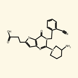 N#Cc1ccccc1Cn1c(N2CCCC(N)C2)nc2cc(CCC(=O)O)sc2c1=O